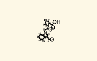 O=Cc1cn(CC(=O)N2CCCC2C(=O)O)c2ccccc12